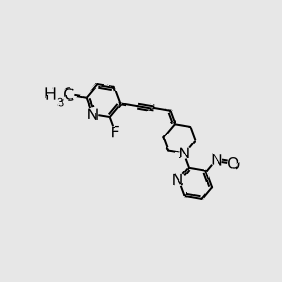 Cc1ccc(C#CC=C2CCN(c3ncccc3N=O)CC2)c(F)n1